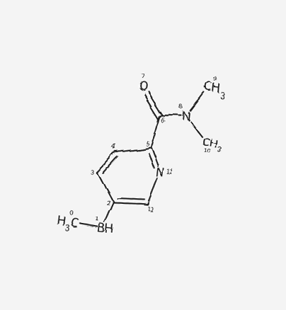 CBc1ccc(C(=O)N(C)C)nc1